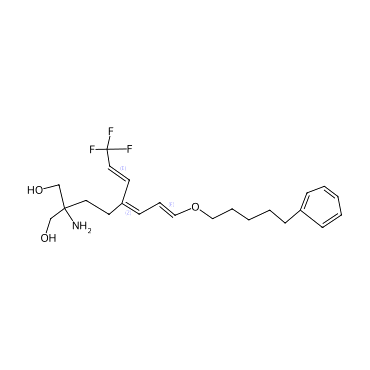 NC(CO)(CO)CCC(=C/C=C/OCCCCCc1ccccc1)/C=C/C(F)(F)F